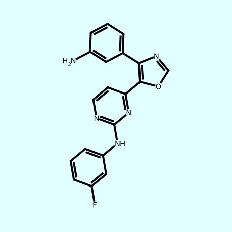 Nc1cccc(-c2ncoc2-c2ccnc(Nc3cccc(F)c3)n2)c1